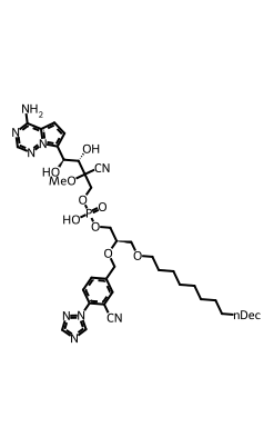 CCCCCCCCCCCCCCCCCCOC[C@H](COP(=O)(O)OCC(C#N)(OC)[C@@H](O)[C@@H](O)c1ccc2c(N)ncnn12)OCc1ccc(-n2cncn2)c(C#N)c1